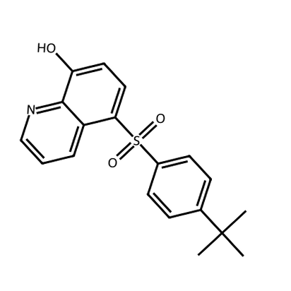 CC(C)(C)c1ccc(S(=O)(=O)c2ccc(O)c3ncccc23)cc1